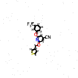 N#Cc1cc(OCc2ccsc2)nc(Oc2cccc(C(F)(F)F)c2)c1